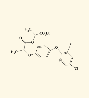 CCOC(=O)C(C)OC(=O)C(C)Oc1ccc(Oc2ncc(Cl)cc2F)cc1